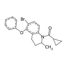 CC1CCc2c(ccc(Br)c2Oc2ccccc2)N1C(=O)C1CC1